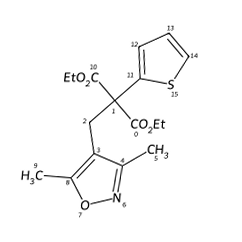 CCOC(=O)C(Cc1c(C)noc1C)(C(=O)OCC)c1cccs1